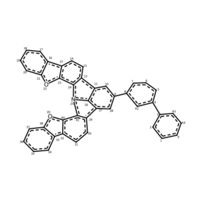 c1ccc(-c2cccc(-c3cc4c5ccc6c7ccccc7oc6c5n5c4c(c3)c3ccc4c6ccccc6oc4c35)c2)cc1